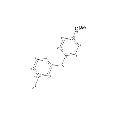 COc1ccc(Cc2cccc(I)c2)cc1